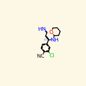 N#Cc1ccc(/C(=C/C=N)NC2CCCCO2)cc1Cl